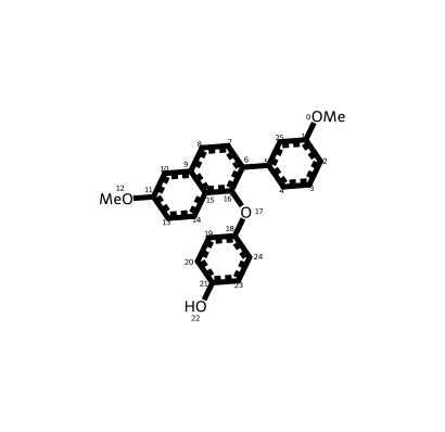 COc1cccc(-c2ccc3cc(OC)ccc3c2Oc2ccc(O)cc2)c1